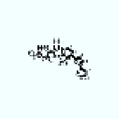 O=POCC1O[C@@H](n2cnc3c(-c4ccc(-c5cccs5)s4)ccnc32)C(O)C1O